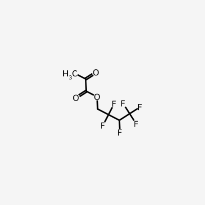 CC(=O)C(=O)OCC(F)(F)C(F)C(F)(F)F